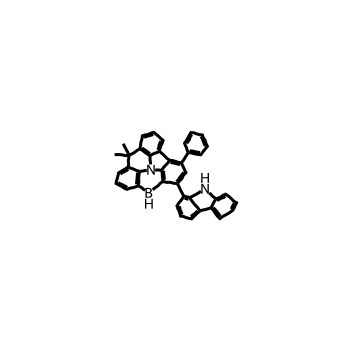 CC1(C)c2cccc3c2-n2c4c1cccc4c1c(-c4ccccc4)cc(-c4cccc5c4[nH]c4ccccc45)c(c12)B3